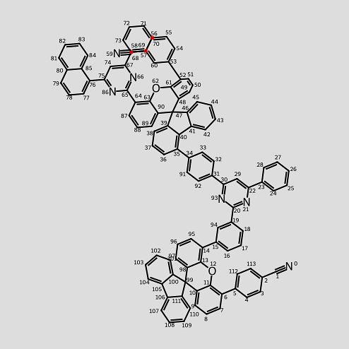 N#Cc1ccc(-c2cccc3c2Oc2c(-c4cccc(-c5nc(-c6ccccc6)cc(-c6ccc(-c7cccc8c7-c7ccccc7C87c8cccc(-c9cccc(C#N)c9)c8Oc8c(-c9nc(-c%10ccccc%10)cc(-c%10cccc%11ccccc%10%11)n9)cccc87)cc6)n5)c4)cccc2C32c3ccccc3-c3ccccc32)cc1